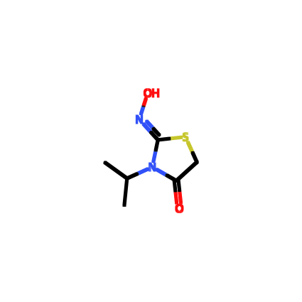 CC(C)N1C(=O)CSC1=NO